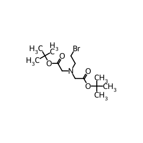 CC(C)(C)OC(=O)CN(CCBr)CC(=O)OC(C)(C)C